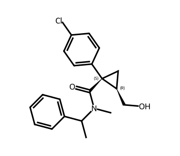 CC(c1ccccc1)N(C)C(=O)[C@@]1(c2ccc(Cl)cc2)C[C@H]1CO